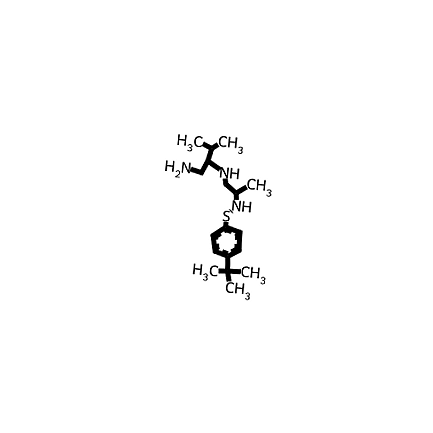 CC(CNC(CN)C(C)C)NSc1ccc(C(C)(C)C)cc1